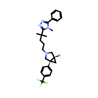 Cn1c(-c2ccccc2)nnc1C(C)(C)CCCN1C[C@@H]2C[C@]2(c2ccc(C(F)(F)F)cc2)C1